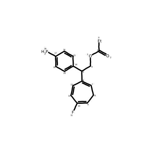 CCC(=O)OCC(C1=CCC=C(F)C=C1)c1ccc(P)cc1